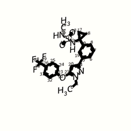 CCn1nc(-c2cccc(C3(NS(=O)(=O)NC)CC3)c2)cc1Oc1ccc(C(F)(F)F)cc1